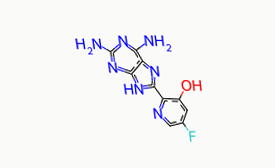 Nc1nc(N)c2nc(-c3ncc(F)cc3O)[nH]c2n1